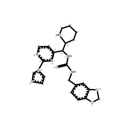 O=C(NCc1ccc2c(c1)OCO2)NC(c1ccnc(-n2ccnc2)n1)C1CCCCN1